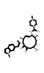 C/C(=C\c1ccc2ccn(C)c2c1)[C@H]1C(=O)C(=O)C[C@H](O)CC[C@H](C)[C@@H](OC(=O)N2CCN(C)CC2)/C=C/[C@@H]1C